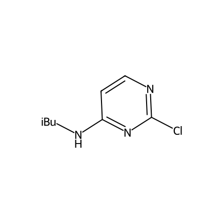 CCC(C)Nc1ccnc(Cl)n1